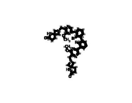 COc1nc(-c2cccc(-c3cccc(-c4cnc(CN5CC6(CCC(=O)N6)C5)c(OC)n4)c3Br)c2F)cnc1CN1CC2(CCC(=O)N2)C1